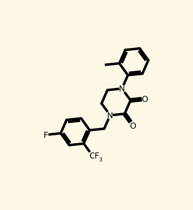 Cc1ccccc1N1CCN(Cc2ccc(F)cc2C(F)(F)F)C(=O)C1=O